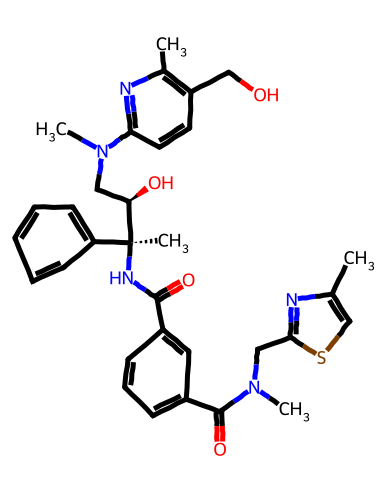 Cc1csc(CN(C)C(=O)c2cccc(C(=O)N[C@@](C)(c3ccccc3)[C@H](O)CN(C)c3ccc(CO)c(C)n3)c2)n1